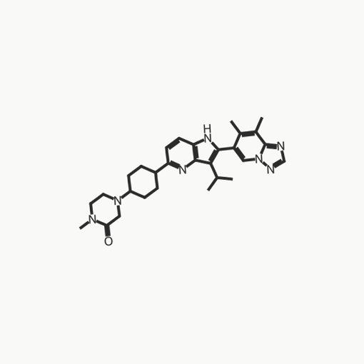 Cc1c(-c2[nH]c3ccc(C4CCC(N5CCN(C)C(=O)C5)CC4)nc3c2C(C)C)cn2ncnc2c1C